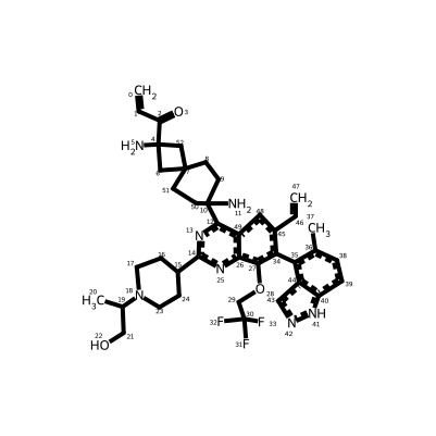 C=CC(=O)C1(N)CC2(CCC(N)(c3nc(C4CCN(C(C)CO)CC4)nc4c(OCC(F)(F)F)c(-c5c(C)ccc6[nH]ncc56)c(C=C)cc34)CC2)C1